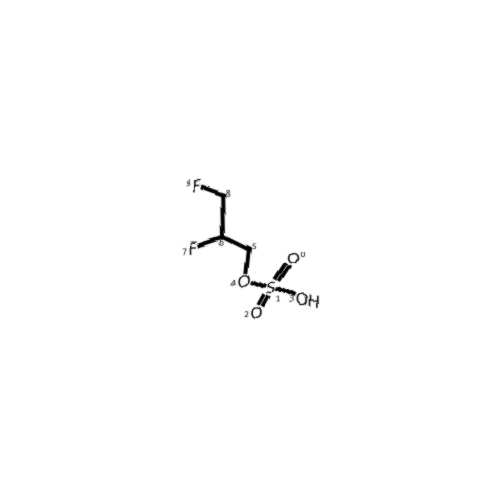 O=S(=O)(O)OCC(F)CF